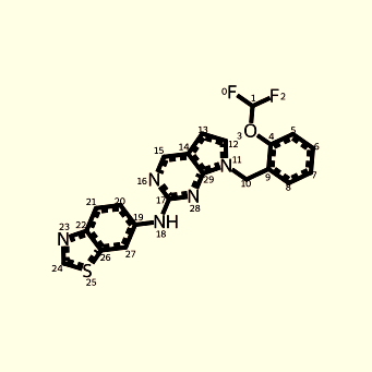 FC(F)Oc1ccccc1Cn1ccc2cnc(Nc3ccc4ncsc4c3)nc21